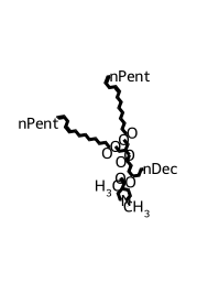 CCCCC/C=C\C/C=C\CCCCCCCC(=O)OCC(COC(=O)CCCCCCC/C=C\C/C=C\CCCCC)OC(=O)CCC(CCCCCCCCCCCC)OC(=O)C1(C)CCN(C)CC1